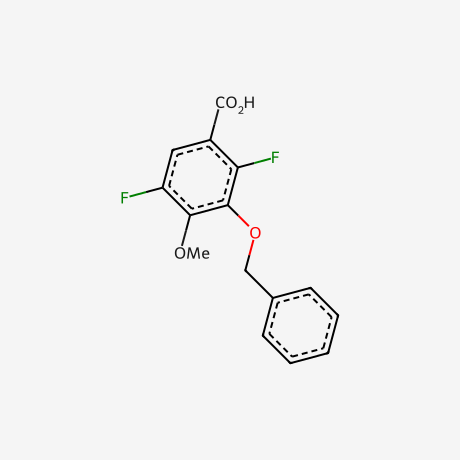 COc1c(F)cc(C(=O)O)c(F)c1OCc1ccccc1